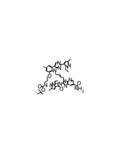 CCn1nc(C)cc1C(=O)Nc1nc2cc(C(N)=O)cnc2n1C/C=C/Cn1c2nc(-c3cc(C)nn3CC)ncc2c2cc(C)cc(OCCCN(C)C(=O)OC(C)(C)C)c21